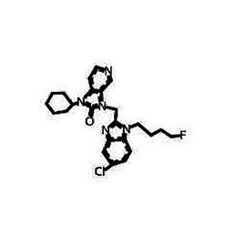 O=c1n(Cc2nc3cc(Cl)ccc3n2CCCCF)c2cnccc2n1C1CCCCC1